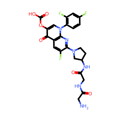 NCC(=O)NCC(=O)NC1CCN(c2nc3c(cc2F)c(=O)c(OC(=O)O)cn3-c2ccc(F)cc2F)C1